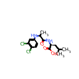 CC(C)C[C@H](NC(=O)C(C)Nc1ccc(Cl)c(Cl)c1)C(=O)O